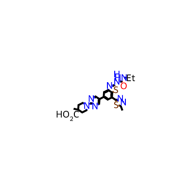 CCNC(=O)Nc1nc2cc(-c3cnc(N4CCC(C)(C(=O)O)CC4)nc3)cc(-c3nnc(C)s3)c2s1